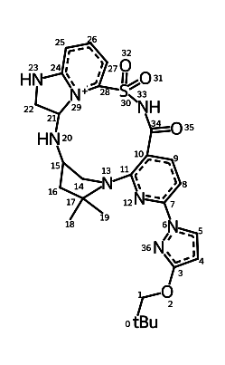 CC(C)(C)COc1ccn(-c2ccc3c(n2)N2CC(CC2(C)C)NC2CNc4cccc([n+]42)S(=O)(=O)NC3=O)n1